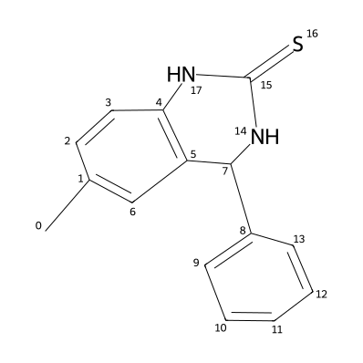 Cc1ccc2c(c1)C(c1ccccc1)NC(=S)N2